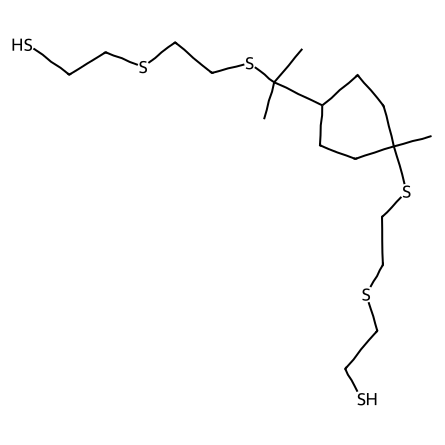 CC1(SCCSCCS)CCC(C(C)(C)SCCSCCS)CC1